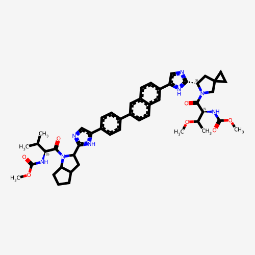 COC(=O)N[C@H](C(=O)N1C(c2ncc(-c3ccc(-c4ccc5cc(-c6cnc([C@@H]7CC8(CC8)CN7C(=O)[C@@H](NC(=O)OC)C(C)OC)[nH]6)ccc5c4)cc3)[nH]2)CC2CCCC21)C(C)C